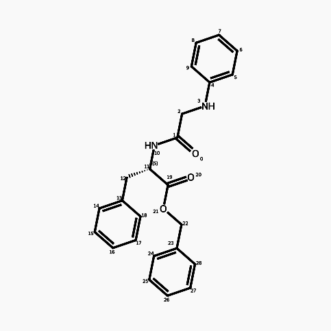 O=C(CNc1ccccc1)N[C@@H](Cc1ccccc1)C(=O)OCc1ccccc1